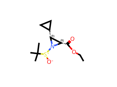 CCOC(=O)[C@H]1[C@@H](C2CC2)N1[S+]([O-])C(C)(C)C